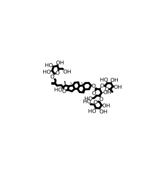 C=C(CCC1(O)OC2CC3C4CC=C5CC(OC6OC(CO)C(OC7OC(CO)C(O)[C@@H](O)[C@@H]7O)[C@@H](O)[C@@H]6OC6OC(C)C(O)[C@H](O)[C@@H]6O)CC[C@]5(C)C4CC[C@]3(C)C2[C@@H]1C)COC1OC(CO)C(O)[C@@H](O)[C@@H]1O